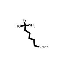 CCCCCCCCCCC(N)(O)CC